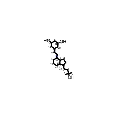 CC(C)(O)CCC1CCC2/C(=C/C=C3/CC(O)C[C@H](O)C3)CCC[C@]12C